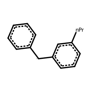 CCCc1cccc([CH]c2ccccc2)c1